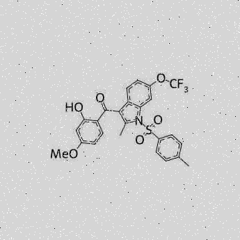 COc1ccc(C(=O)c2c(C)n(S(=O)(=O)c3ccc(C)cc3)c3cc(OC(F)(F)F)ccc23)c(O)c1